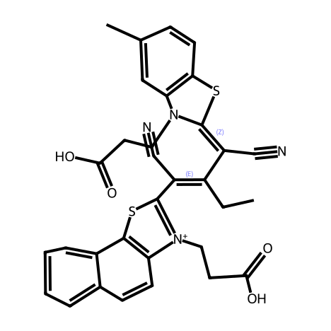 CCC(/C(C#N)=C1/Sc2ccc(C)cc2N1CCC(=O)O)=C(/C#N)c1sc2c3ccccc3ccc2[n+]1CCC(=O)O